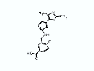 Cc1nc(C)c(-c2ccnc(NCc3cc(C(=O)O)ccc3Cl)n2)s1